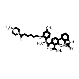 COc1c(-c2cccc3[nH]c(C(C)C)nc23)ccc(C(=O)N(C)c2ccc(C)cc2OCCCCCC(=O)N2CCN(C)CC2)c1C(N)=O